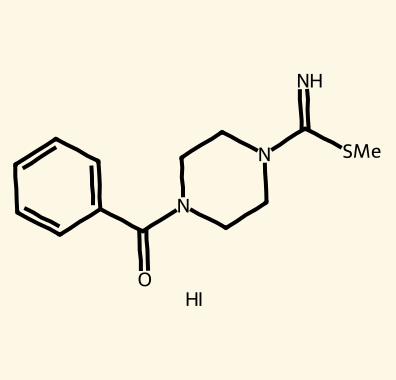 CSC(=N)N1CCN(C(=O)c2ccccc2)CC1.I